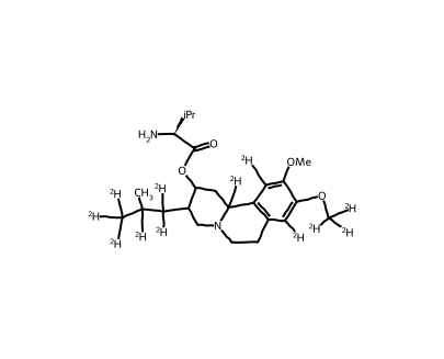 [2H]c1c2c(c([2H])c(OC)c1OC([2H])([2H])[2H])C1([2H])CC(OC(=O)[C@@H](N)C(C)C)C(C([2H])([2H])C([2H])(C)C([2H])([2H])[2H])CN1CC2